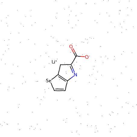 O=C([O-])C1=Nc2cc[se]c2C1.[Li+]